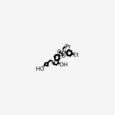 CCc1ccc(N(CC(C)C)S(=O)(=O)c2ccc3c(c2)C(O)CCN3CC2CC(O)C2)cc1